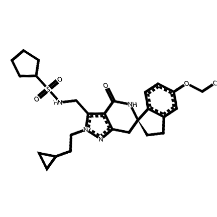 O=C1N[C@@]2(CCc3cc(OCC(F)(F)F)ccc32)Cc2nn(CCC3CC3)c(CNS(=O)(=O)C3CCCC3)c21